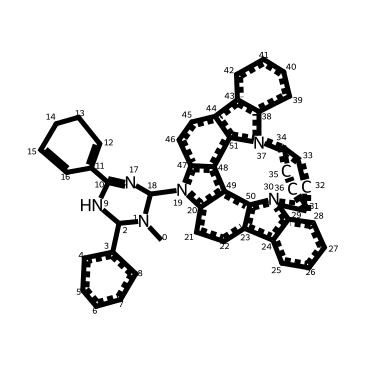 CN1C(c2ccccc2)NC(C2=CCCC=C2)=NC1n1c2ccc3c4ccccc4n4c5ccc(cc5)n5c6ccccc6c6ccc1c(c2c34)c65